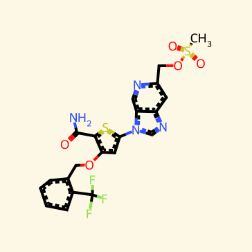 CS(=O)(=O)OCc1cc2ncn(-c3cc(OCc4ccccc4C(F)(F)F)c(C(N)=O)s3)c2cn1